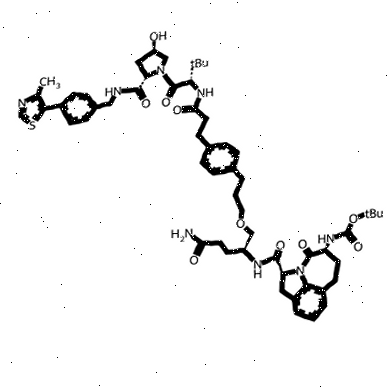 Cc1ncsc1-c1ccc(CNC(=O)[C@@H]2C[C@@H](O)CN2C(=O)[C@@H](NC(=O)CCc2ccc(CCCOC[C@H](CCC(N)=O)NC(=O)[C@@H]3Cc4cccc5c4N3C(=O)[C@@H](NC(=O)OC(C)(C)C)CC5)cc2)C(C)(C)C)cc1